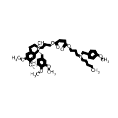 CCCCCN(CCCOC(=O)/C=C\C(=O)OCCC[N@+]1(C)CCc2cc(OC)c(OC)cc2[C@H]1Cc1ccc(OC)c(OC)c1)Cc1ccc(OC)cc1